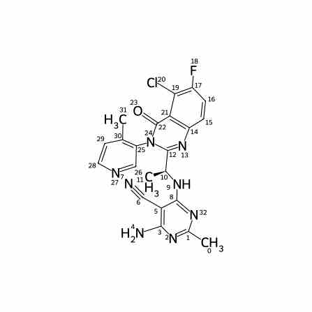 Cc1nc(N)c(C#N)c(N[C@@H](C)c2nc3ccc(F)c(Cl)c3c(=O)n2-c2cnccc2C)n1